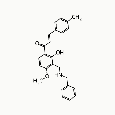 COc1ccc(C(=O)/C=C/c2ccc(C)cc2)c(O)c1CNCc1ccccc1